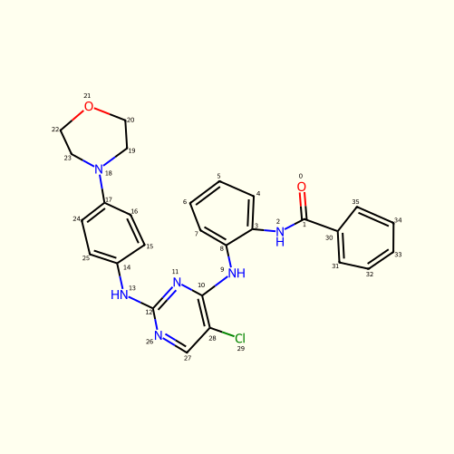 O=C(Nc1ccccc1Nc1nc(Nc2ccc(N3CCOCC3)cc2)ncc1Cl)c1ccccc1